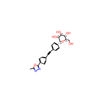 Cc1nnc(-c2ccc(C#Cc3ccc([C@H]4O[C@H](CO)[C@@H](O)[C@H](O)[C@@H]4O)cc3)cc2)o1